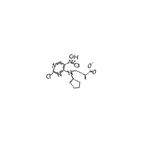 CC(CN(c1nc(Cl)ncc1[N+](=O)O)C1CCCC1)C(=O)[O-]